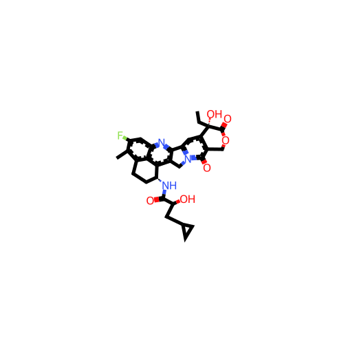 CC[C@@]1(O)C(=O)OCc2c1cc1n(c2=O)Cc2c-1nc1cc(F)c(C)c3c1c2[C@H](NC(=O)C(O)CC1CC1)CC3